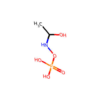 CC(O)NOP(=O)(O)O